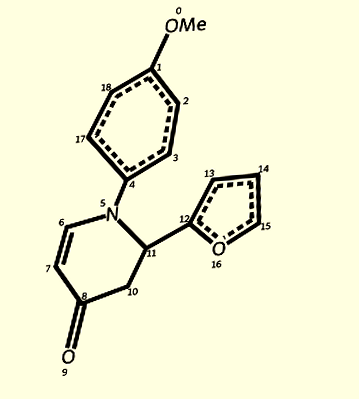 COc1ccc(N2C=CC(=O)CC2c2ccco2)cc1